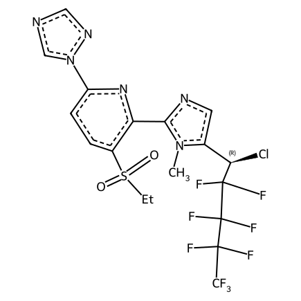 CCS(=O)(=O)c1ccc(-n2cncn2)nc1-c1ncc([C@@H](Cl)C(F)(F)C(F)(F)C(F)(F)C(F)(F)F)n1C